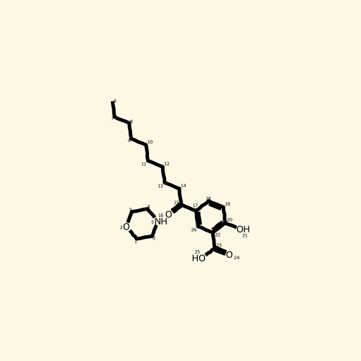 C1COCCN1.CCCCCCCCCC(=O)c1ccc(O)c(C(=O)O)c1